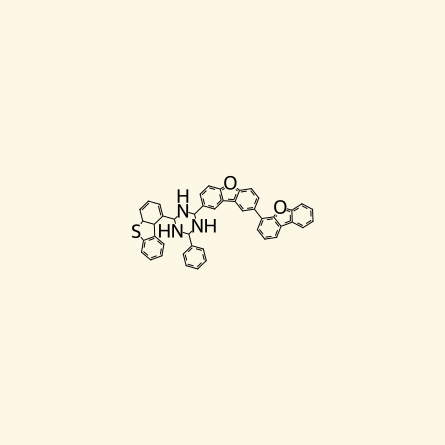 C1=CC2Sc3ccccc3C2C(C2NC(c3ccccc3)NC(c3ccc4oc5ccc(-c6cccc7c6oc6ccccc67)cc5c4c3)N2)=C1